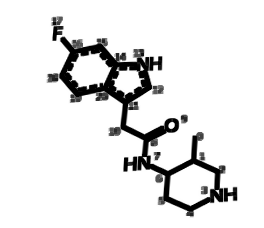 CC1CNCCC1NC(=O)Cc1c[nH]c2cc(F)ccc12